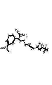 CN(C)c1cccc(C(CCCCCc2noc(C(F)(F)F)n2)C(N)=O)c1